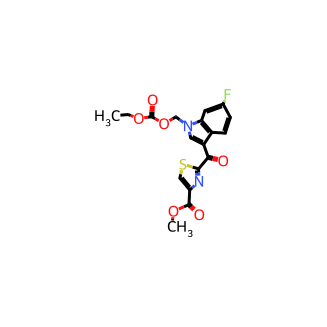 CCOC(=O)OCn1cc(C(=O)c2nc(C(=O)OC)cs2)c2ccc(F)cc21